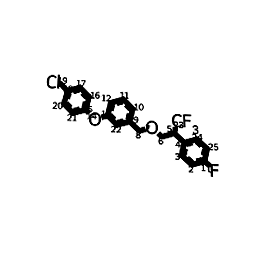 Fc1ccc(C(COCc2cccc(Oc3ccc(Cl)cc3)c2)C(F)(F)F)cc1